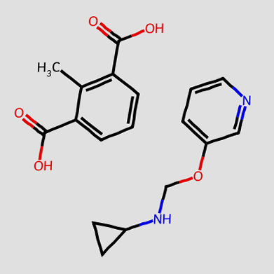 Cc1c(C(=O)O)cccc1C(=O)O.c1cncc(OCNC2CC2)c1